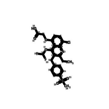 CCc1nc2c(Cl)ccc(OCC(=O)O)c2c(OC(F)F)c1Cc1ccc(S(C)(=O)=O)cc1